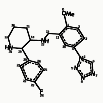 COc1ccc(-n2cnnn2)cc1CNC1CCCNC1c1ccc(F)cc1